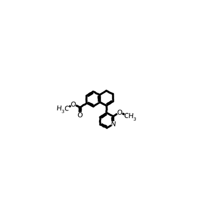 COC(=O)c1ccc2c(c1)C(c1cccnc1OC)=CCC2